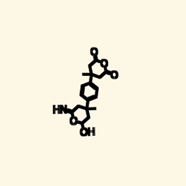 CC1(c2ccc(C3(C)CC(=N)OC(O)C3)cc2)CC(=O)OC(=O)C1